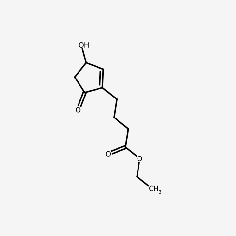 CCOC(=O)CCCC1=CC(O)CC1=O